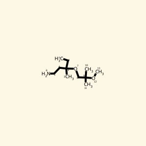 CCC(C)(CCN)OCC(C)(C)OC